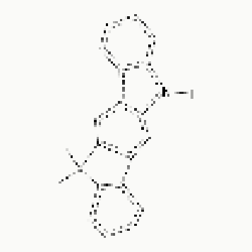 CC1(C)c2ccccc2-c2cc3c(cc21)c1ccccc1n3I